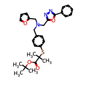 CC(C)(C)OC(=O)C(C)(C)Sc1ccc(CN(Cc2ccco2)Cc2nnc(-c3ccccc3)o2)cc1